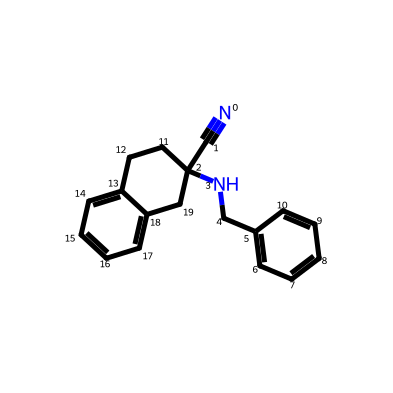 N#CC1(NCc2ccccc2)CCc2ccccc2C1